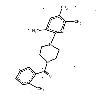 Cc1ccc[c]c1C(=O)N1CCN(c2nc(C)c(C)cc2C)CC1